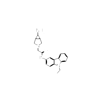 CCn1c2ccccc2c2cc(NC(=O)CN3CC4C(N)C4C3)ccc21